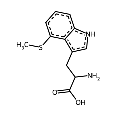 CSc1cccc2[nH]cc(CC(N)C(=O)O)c12